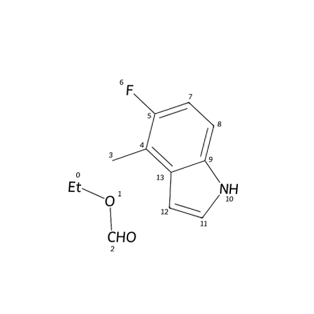 CCOC=O.Cc1c(F)ccc2[nH]ccc12